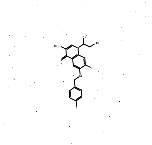 CC(C)(C)C(CO)n1cc(C(=O)O)c(=O)c2cc(NCc3ccc(F)cc3)c(C(F)(F)F)cc21